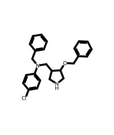 Clc1ccc(N(Cc2ccccc2)CC2CNCC2OCc2ccccc2)cc1